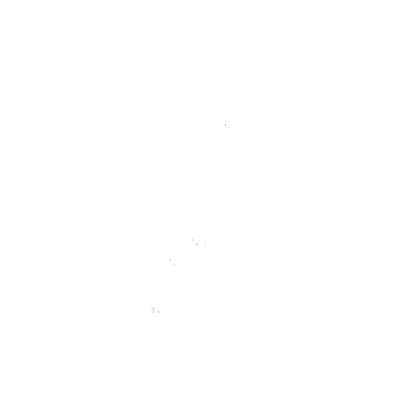 O=C(NNC(=S)Nc1ccccc1F)c1cccc(NC(=O)c2cccc(Cl)c2)c1